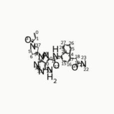 C=CC(=O)N1CC[C@@H](n2nc(C(=O)Nc3ccc(CC(=O)N(C)C)c4ccccc34)c3c(N)ncnc32)C1